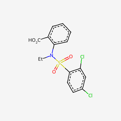 CCN(c1ccccc1C(=O)O)S(=O)(=O)c1ccc(Cl)cc1Cl